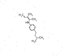 C=C/C(C)=C(/C)Nc1ccc(CCC(C)C)cc1